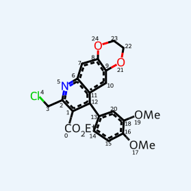 CCOC(=O)c1c(CCl)nc2cc3c(cc2c1-c1ccc(OC)c(OC)c1)OCCO3